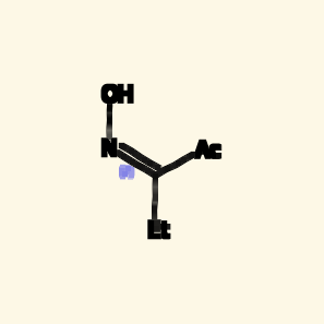 CC/C(=N/O)C(C)=O